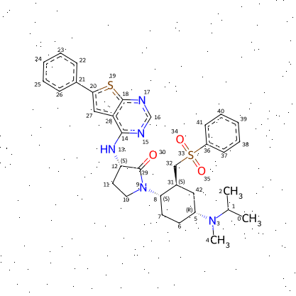 CC(C)N(C)[C@@H]1CC[C@H](N2CC[C@H](Nc3ncnc4sc(-c5ccccc5)cc34)C2=O)[C@@H](CS(=O)(=O)c2ccccc2)C1